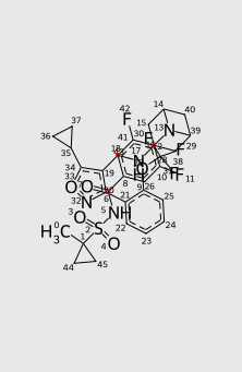 CC1(S(=O)(=O)NC(=O)c2cc(F)c(N3C4CC(NCc5c(-c6ccccc6OC(F)(F)F)noc5C5CC5)CC3C4)c(F)c2)CC1